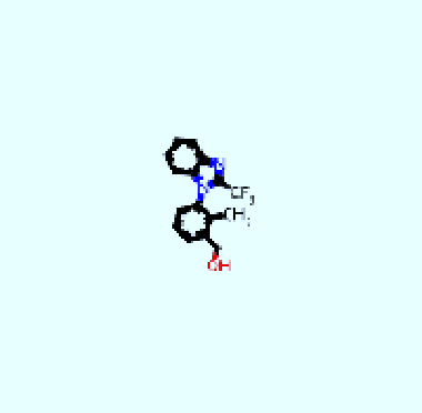 Cc1c(CO)cccc1-n1c(C(F)(F)F)nc2ccccc21